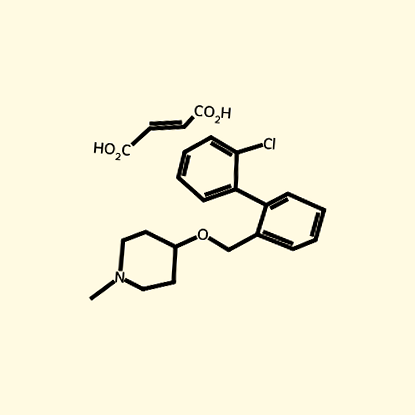 CN1CCC(OCc2ccccc2-c2ccccc2Cl)CC1.O=C(O)C=CC(=O)O